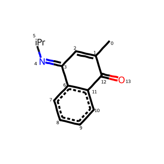 CC1=C/C(=N\C(C)C)c2ccccc2C1=O